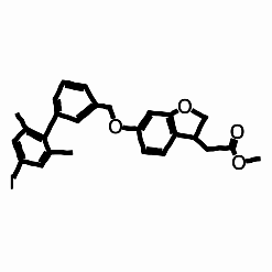 COC(=O)CC1COc2cc(OCc3cccc(-c4c(C)cc(I)cc4C)c3)ccc21